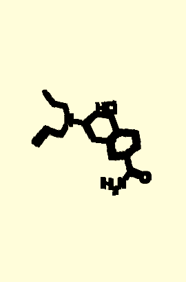 C=CCN(CCC)[C@@H]1CCc2ccc(C(N)=O)cc2C1.Cl